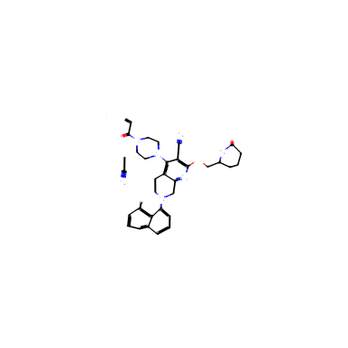 C=CC(=O)N1CCN(c2c(C#N)c(OCC3CCCC(=O)N3)nc3c2CCN(c2cccc4cccc(C)c24)C3)C[C@@H]1CC#N